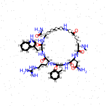 CN[C@H]1CCC(=O)CNCCCC[C@@H](C(N)=O)NC(=O)[C@H](Cc2c[nH]c3ccccc23)NC(=O)[C@H](CCCNC(=N)N)NC(=O)[C@@H](Cc2ccccc2)NC(=O)[C@H](CC(N)=O)NC1=O